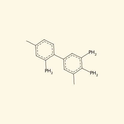 Cc1ccc(-c2cc(C)c(P)c(P)c2)c(P)c1